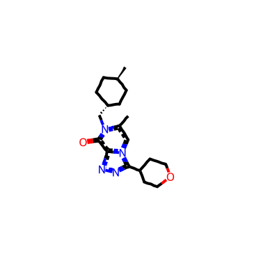 Cc1cn2c(C3CCOCC3)nnc2c(=O)n1C[C@H]1CC[C@H](C)CC1